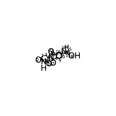 O=C1CCC(N2C(=O)c3ccc(N4CCC[C@H]4CO)cc3C2=O)C(=O)N1